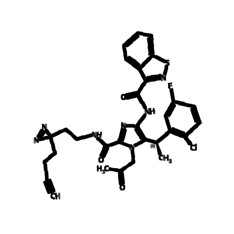 C#CCCC1(CCNC(=O)c2nc(NC(=O)c3nsc4ccccc34)c([C@H](C)c3cc(F)ccc3Cl)n2CC(C)=O)N=N1